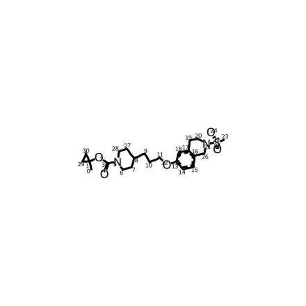 CC1(OC(=O)N2CCC(CCCOc3ccc4c(c3)CCN(S(C)(=O)=O)C4)CC2)CC1